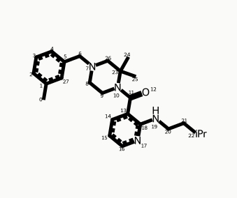 Cc1cccc(CN2CCN(C(=O)c3cccnc3NCCC(C)C)C(C)(C)C2)c1